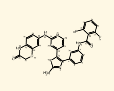 Nc1nc(-c2cccc(NC(=O)c3c(F)cccc3F)c2)c(-c2ccnc(Nc3ccc4c(c3)OCC(=O)N4)n2)s1